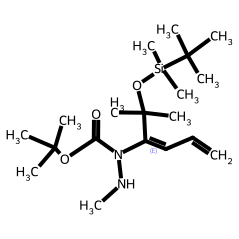 C=C/C=C(/N(NC)C(=O)OC(C)(C)C)C(C)(C)O[Si](C)(C)C(C)(C)C